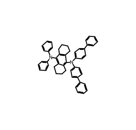 c1ccc(-c2ccc(N(c3ccc(-c4ccccc4)cc3)c3c4c(c(N(c5ccccc5)c5ccccc5)c5c3CCCC5)CCCC4)cc2)cc1